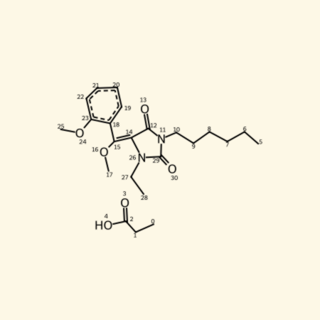 CCC(=O)O.CCCCCCN1C(=O)C(=C(OC)c2ccccc2OC)N(CC)C1=O